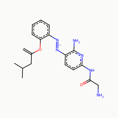 C=C(CC(C)C)Oc1ccccc1/N=N/c1ccc(NC(=O)CN)nc1N